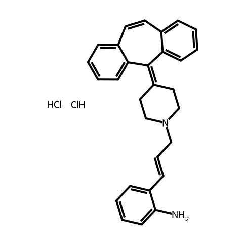 Cl.Cl.Nc1ccccc1C=CCN1CCC(=C2c3ccccc3C=Cc3ccccc32)CC1